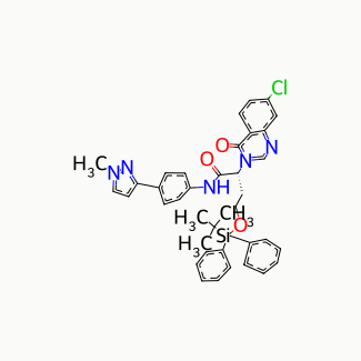 Cn1ccc(-c2ccc(NC(=O)[C@@H](CCO[Si](c3ccccc3)(c3ccccc3)C(C)(C)C)n3cnc4cc(Cl)ccc4c3=O)cc2)n1